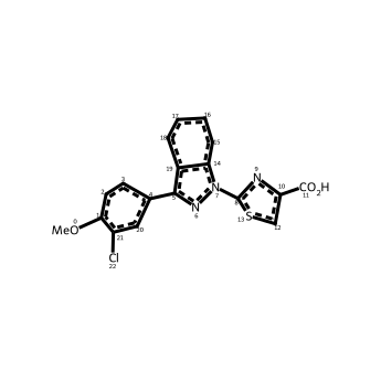 COc1ccc(-c2nn(-c3nc(C(=O)O)cs3)c3ccccc23)cc1Cl